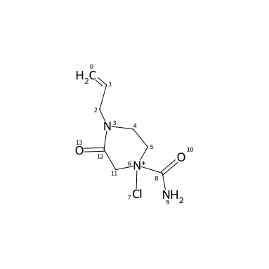 C=CCN1CC[N+](Cl)(C(N)=O)CC1=O